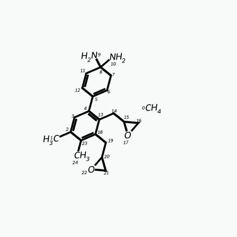 C.Cc1cc(C2=CCC(N)(N)C=C2)c(CC2CO2)c(CC2CO2)c1C